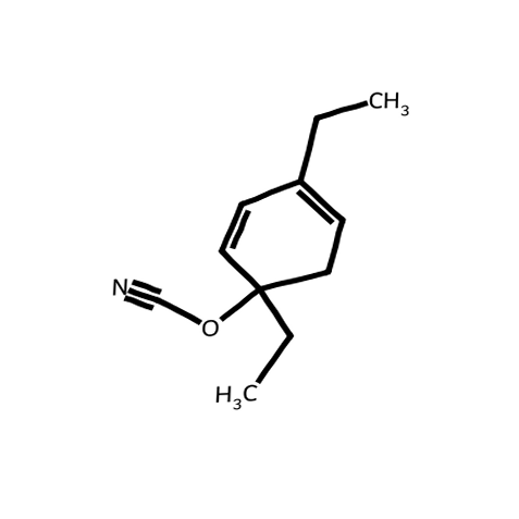 CCC1=CCC(CC)(OC#N)C=C1